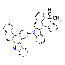 CC1(C)c2ccccc2-c2c3c1cccc3cc1c2c2ccccc2n1-c1ccc2c3c4ccccc4ccc3c3nc4ccccc4n3c2c1